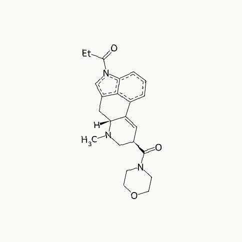 CCC(=O)n1cc2c3c(cccc31)C1=C[C@@H](C(=O)N3CCOCC3)CN(C)[C@@H]1C2